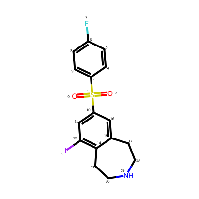 O=S(=O)(c1ccc(F)cc1)c1cc(I)c2c(c1)CCNCC2